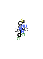 CCCC1CCc2sccc2C1Nc1nc(CC)c(-c2ccc(Cl)cc2Cl)nc1CC